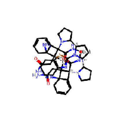 CC1(CC(N)=O)C2(N)CC=CC=C2[C@@]1(C(=O)NC(=O)O)N1CCCC1[C@H]1CC[C@H](C2CCCN2[C@]2(C(=O)NC(=O)O)C3=CC=CCC3(N)C2(C)CC(N)=O)N1c1nc2c(s1)CCCC2